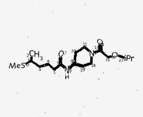 CSC(C)CCCC(=O)NC1CCN(C(=O)COC(C)C)CC1